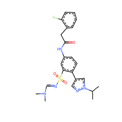 CC(C)n1cc(-c2ccc(NC(=O)Cc3ccccc3F)cc2S(=O)(=O)/N=C/N(C)C)cn1